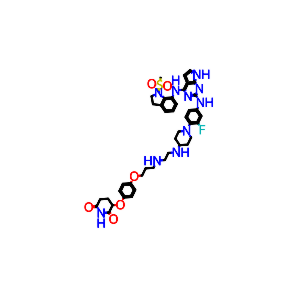 CS(=O)(=O)N1CCc2cccc(Nc3nc(Nc4ccc(N5CCC(NCCNCCCOc6ccc(OC7CCC(=O)NC7=O)cc6)CC5)c(F)c4)nc4[nH]ccc34)c21